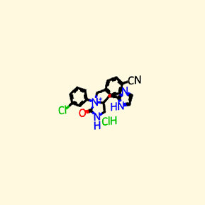 Cl.N#Cc1ccc(C[N+]2(c3cccc(Cl)c3)C(=O)NCC2Cc2ncc[nH]2)cc1